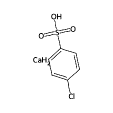 O=S(=O)(O)c1ccc(Cl)cc1.[CaH2]